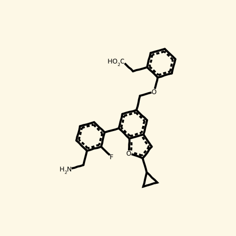 NCc1cccc(-c2cc(COc3ccccc3CC(=O)O)cc3cc(C4CC4)oc23)c1F